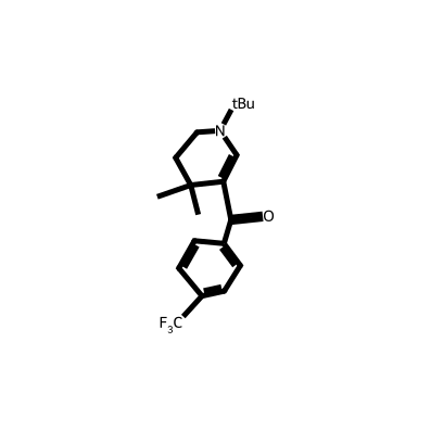 CC1(C)CCN(C(C)(C)C)C=C1C(=O)c1ccc(C(F)(F)F)cc1